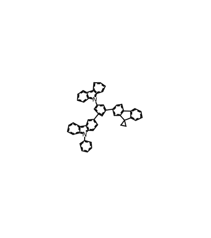 c1ccc(-n2c3ccccc3c3cc(-c4cc(-c5ccc6c(c5)C5(CC5)c5ccccc5-6)cc(-n5c6ccccc6c6ccccc65)c4)ccc32)cc1